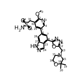 COc1ncc(-c2cc(-c3nnc(CN4CCOC(C)(C)C4)o3)c3cn[nH]c3c2)cc1CS(N)(=O)=O